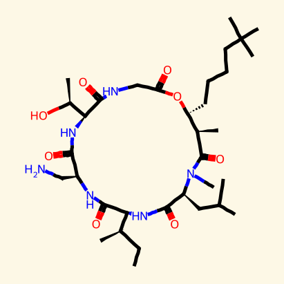 CC[C@@H](C)[C@@H]1NC(=O)[C@H](CC(C)C)N(C)C(=O)[C@H](C)[C@@H](CCCCC(C)(C)C)OC(=O)CNC(=O)[C@H]([C@H](C)O)NC(=O)[C@H](CN)NC1=O